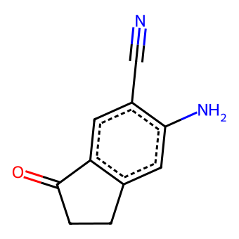 N#Cc1cc2c(cc1N)CCC2=O